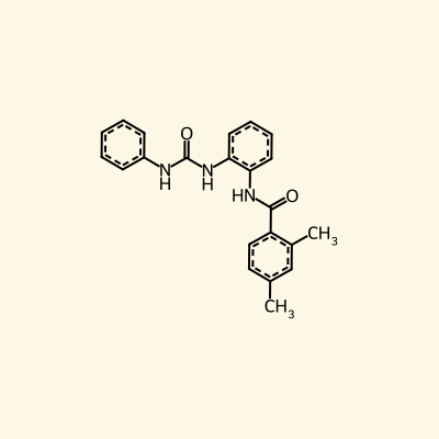 Cc1ccc(C(=O)Nc2ccccc2NC(=O)Nc2ccccc2)c(C)c1